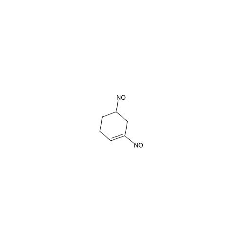 O=NC1=CCCC(N=O)C1